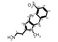 CC(C)c1nc(CCN)n(C)c1Sc1cccc([N+](=O)[O-])c1